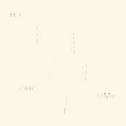 COc1cc2ccc(C)cc2c(C=O)c1F